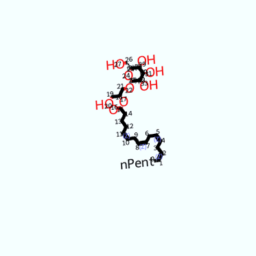 CCCCC/C=C\C/C=C\C/C=C\C/C=C\CCCC(=O)OC(CO)CO[C@@H]1O[C@H](CO)[C@@H](O)[C@H](O)[C@H]1O